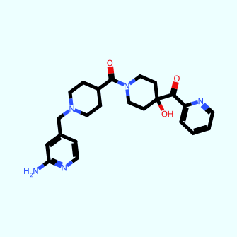 Nc1cc(CN2CCC(C(=O)N3CCC(O)(C(=O)c4ccccn4)CC3)CC2)ccn1